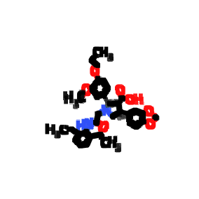 CCCOc1ccc([C@@H]2[C@@H](C(=O)O)[C@@H](c3ccc4c(c3)OCO4)CN2CC(=O)Nc2c(CC)cccc2CC)cc1OC